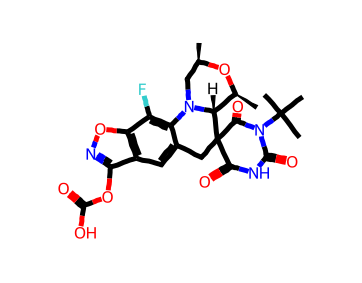 C[C@@H]1CN2c3c(cc4c(OC(=O)O)noc4c3F)CC3(C(=O)NC(=O)N(C(C)(C)C)C3=O)[C@H]2[C@H](C)O1